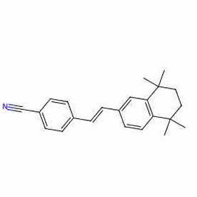 CC1(C)CCC(C)(C)c2cc(/C=C/c3ccc(C#N)cc3)ccc21